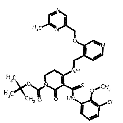 COc1c(Cl)cccc1NC(=S)C1=C(NCc2ccncc2OCc2cncc(C)n2)CCN(C(=O)OC(C)(C)C)C1=O